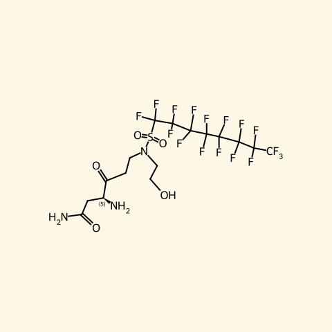 NC(=O)C[C@H](N)C(=O)CCN(CCO)S(=O)(=O)C(F)(F)C(F)(F)C(F)(F)C(F)(F)C(F)(F)C(F)(F)C(F)(F)C(F)(F)F